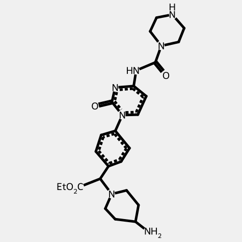 CCOC(=O)C(c1ccc(-n2ccc(NC(=O)N3CCNCC3)nc2=O)cc1)N1CCC(N)CC1